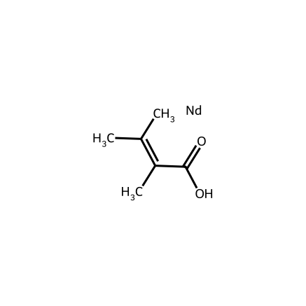 CC(C)=C(C)C(=O)O.[Nd]